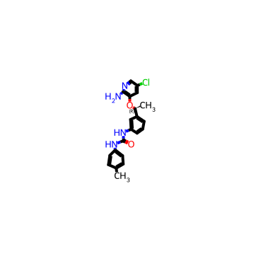 Cc1ccc(NC(=O)Nc2cccc([C@@H](C)Oc3cc(Cl)cnc3N)c2)cc1